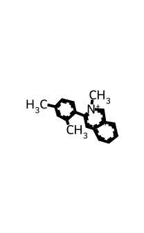 Cc1ccc(-c2cc3ccccc3c[n+]2C)c(C)c1